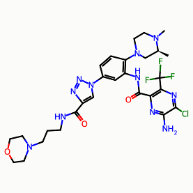 C[C@H]1CN(c2ccc(-n3cc(C(=O)NCCCN4CCOCC4)nn3)cc2NC(=O)c2nc(N)c(Cl)nc2C(F)(F)F)CCN1C